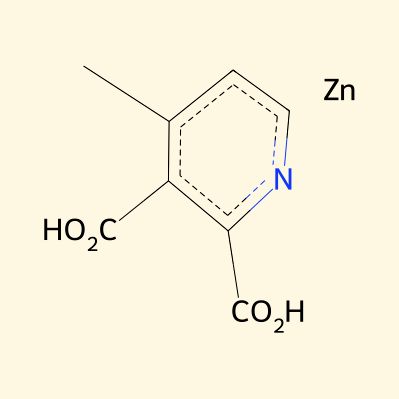 Cc1ccnc(C(=O)O)c1C(=O)O.[Zn]